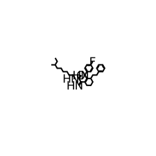 CCC(C)CCCCCCNC(=O)C(=N)C1=C(Nc2ccc(F)cc2)C(CCc2ccccc2)CCC1